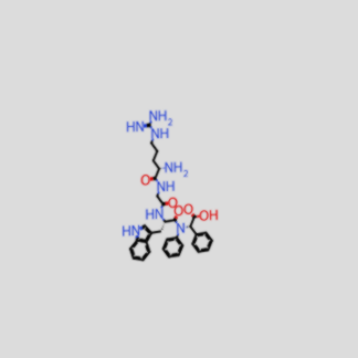 N=C(N)NCCC[C@H](N)C(=O)NCC(=O)N[C@@H](Cc1c[nH]c2ccccc12)C(=O)N(c1ccccc1)[C@H](C(=O)O)c1ccccc1